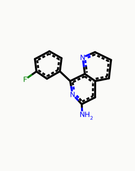 Nc1cc2cccnc2c(-c2cccc(F)c2)n1